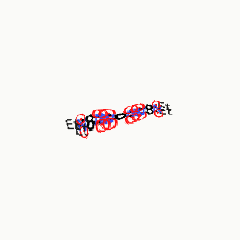 CCC(CC)N1C(=O)c2ccc3c4c(ccc(c24)C1=O)C(=O)N(n1c(=O)c2cc4c(=O)n(N5C(=O)c6ccc7c8c(ccc(c68)C5=O)C(=O)N(C(CC)CC)C7=O)c(=O)c4cc2c1=O)C3=O